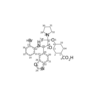 O=C(O)C1CCC(OC(F)(C(=O)C(Nc2ccccc2Br)c2ccc3ncoc3c2)N2CCCC2)CC1